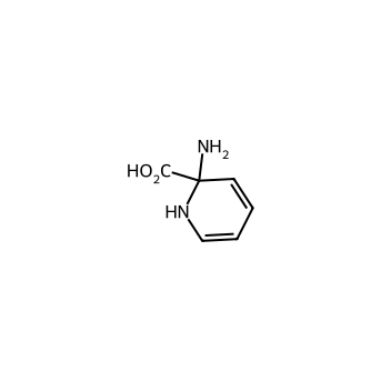 NC1(C(=O)O)C=CC=CN1